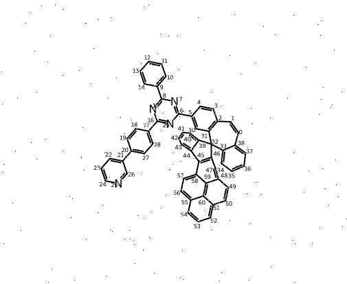 C1=Cc2ccc(-c3nc(-c4ccccc4)nc(-c4ccc(-c5cccnc5)cc4)n3)cc2C2(c3ccccc31)c1ccccc1-c1c2cc2ccc3cccc4ccc1c2c34